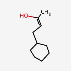 CC(O)=CCC1CCCCC1